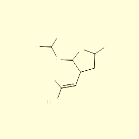 CC(C)=CC1CC(C)SC1OC(C)C(=O)O